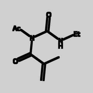 C=C(C)C(=O)N(C(C)=O)C(=O)NCC